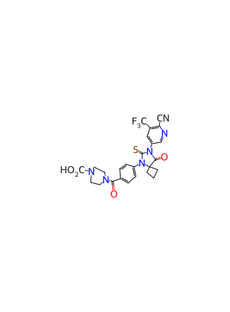 N#Cc1ncc(N2C(=O)C3(CCC3)N(c3ccc(C(=O)N4CCN(C(=O)O)CC4)cc3)C2=S)cc1C(F)(F)F